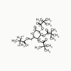 CC(C)(C)C(=O)OC[C@H]1O[C@@H]([O])[C@H](OC(=O)C(C)(C)C)[C@@H](OC(=O)C(C)(C)C)[C@@H]1OC(=O)C(C)(C)C